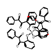 O=C(C(=O)c1ccccc1O[Si](Oc1ccccc1C(=O)C(=O)c1ccccc1)(Oc1ccccc1C(=O)C(=O)c1ccccc1)Oc1ccccc1C(=O)C(=O)c1ccccc1)c1ccccc1